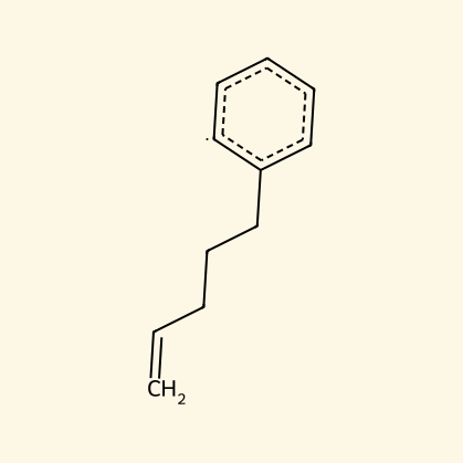 C=CCCCc1[c]cccc1